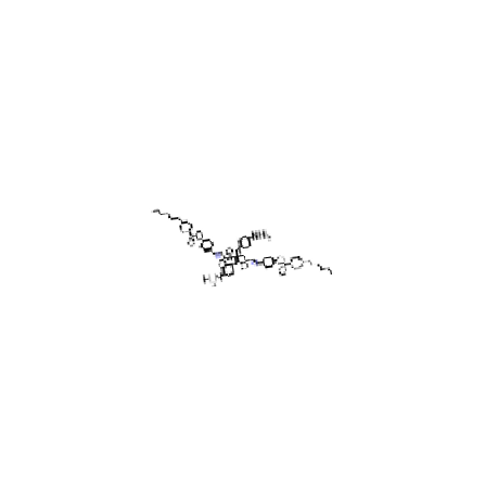 C=CCCCCC1CCC(C(=O)Oc2ccc(/C=C/C(=O)CC(Cc3ccc(N)cc3)(Cc3ccc(N)cc3)C(O)(O)C(=O)/C=C/c3ccc(OC(=O)C4CCC(CCCCC=C)CC4)cc3)cc2)CC1